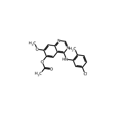 [CH2]c1ccc(Cl)cc1Nc1ncnc2cc(OC)c(OC(C)=O)cc12